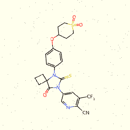 N#Cc1ncc(N2C(=O)C3(CCC3)N(c3ccc(OC4CCS(=O)(=O)CC4)cc3)C2=S)cc1C(F)(F)F